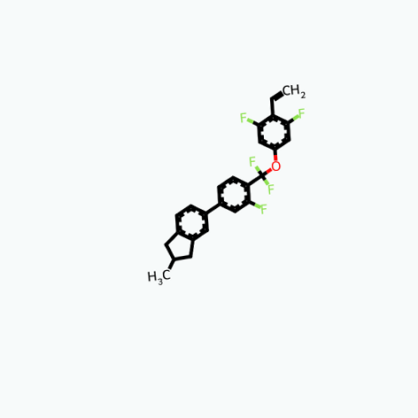 C=Cc1c(F)cc(OC(F)(F)c2ccc(-c3ccc4c(c3)CC(C)C4)cc2F)cc1F